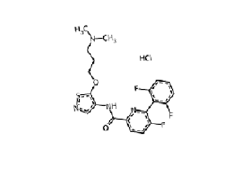 CN(C)CCCOc1sncc1NC(=O)c1ccc(F)c(-c2c(F)cccc2F)n1.Cl